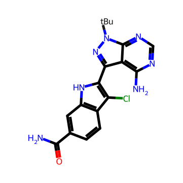 CC(C)(C)n1nc(-c2[nH]c3cc(C(N)=O)ccc3c2Cl)c2c(N)ncnc21